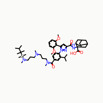 COc1cccc(OC)c1-c1cc(C(=O)NC2(C(=O)O)C3CC4CC(C3)CC2C4)nn1-c1ccc(C(=O)N(C)CCCN(C)CCCN(C)[Si](C)(C)C(C)(C)C(C)C)cc1C(C)C